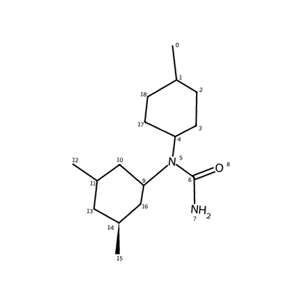 CC1CCC(N(C(N)=O)C2CC(C)C[C@H](C)C2)CC1